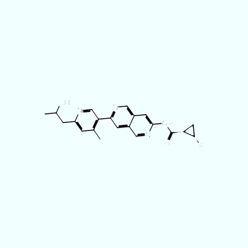 Cc1cc(CC(C)O)ncc1-c1cc2cnc(NC(=O)[C@H]3C[C@H]3F)cc2cn1